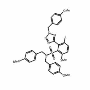 COc1ccc(CN(Cc2ccc(OC)cc2)S(=O)(=O)c2c(SC)ccc(I)c2-c2nnn(Cc3ccc(OC)cc3)n2)cc1